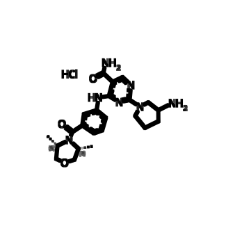 C[C@@H]1COC[C@H](C)N1C(=O)c1cccc(Nc2nc(N3CCCC(N)C3)ncc2C(N)=O)c1.Cl